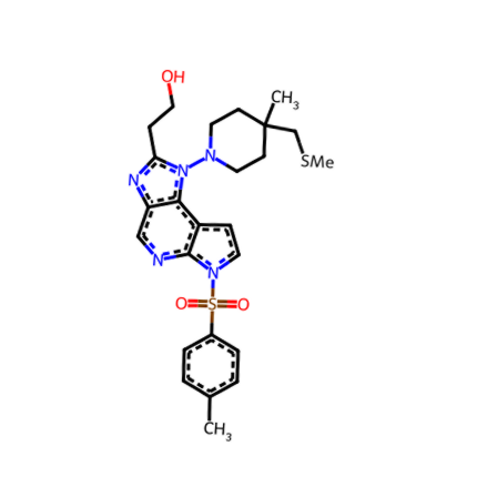 CSCC1(C)CCN(n2c(CCO)nc3cnc4c(ccn4S(=O)(=O)c4ccc(C)cc4)c32)CC1